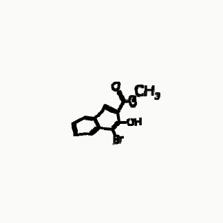 COC(=O)c1cc2ccccc2c(Br)c1O